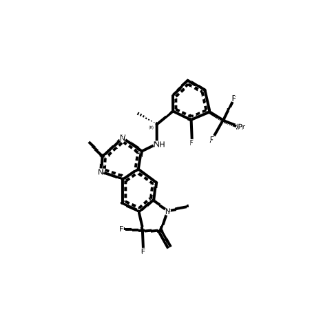 C=C1N(C)c2cc3c(N[C@H](C)c4cccc(C(F)(F)C(C)C)c4F)nc(C)nc3cc2C1(F)F